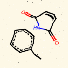 Cc1ccccc1.O=C1C=CC(=O)N1